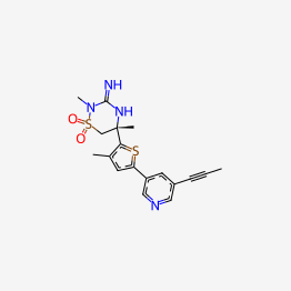 CC#Cc1cncc(-c2cc(C)c([C@]3(C)CS(=O)(=O)N(C)C(=N)N3)s2)c1